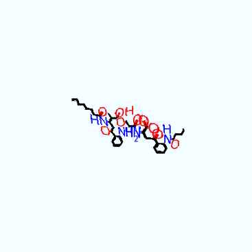 CCCCCCCC(=O)NC(CC(=O)c1ccccc1N)C(C)C(O)OCCC(=O)NC(CC(=O)c1ccccc1NC(=O)CCC)C(=O)OC